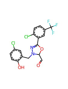 O=CC1OC(c2cc(C(F)(F)F)ccc2Cl)=NN1Cc1cc(Cl)ccc1O